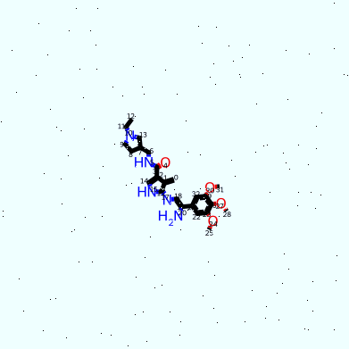 C=C1C(C(=O)NCC2CCN(CC)C2)=CN/C1=N/C=C(\N)c1cc(OC)c(OC)c(OC)c1